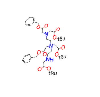 CC(C)(C)OC(=O)CNCC[N+](CCN(CC(=O)OCc1ccccc1)CC(=O)OC(C)(C)C)(CC(=O)OCc1ccccc1)CC(=O)OC(C)(C)C